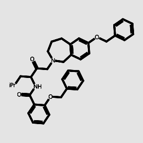 CC(C)CC(NC(=O)c1ccccc1OCc1ccccc1)C(=O)CN1CCCc2cc(OCc3ccccc3)ccc2C1